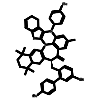 C=C1c2cc(C)cc3c2B(C2=C(CC4C(=C2)C(C)(C)CCC4(C)C)[C@@H]1Cc1ccc(C(C)(C)C)cc1-c1ccc(C(C)(C)C)cc1)c1sc2c(c1N3C1C=CC(C(C)(C)C)=CC1)CCC=C2